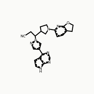 N#CCC(C1CCN(c2ccc3c(n2)OCC3)C1)n1cc(-c2ncnc3[nH]ccc23)cn1